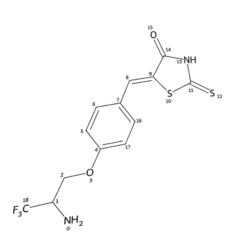 NC(COc1ccc(/C=C2\SC(=S)NC2=O)cc1)C(F)(F)F